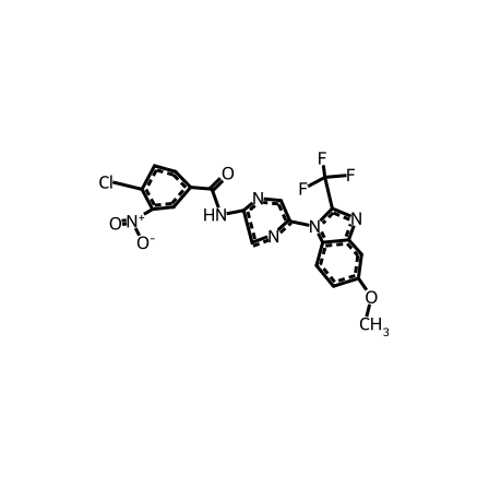 COc1ccc2c(c1)nc(C(F)(F)F)n2-c1cnc(NC(=O)c2ccc(Cl)c([N+](=O)[O-])c2)cn1